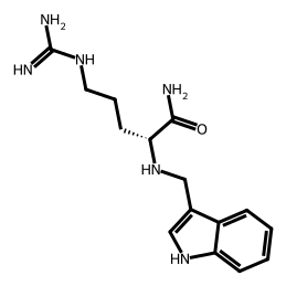 N=C(N)NCCC[C@@H](NCc1c[nH]c2ccccc12)C(N)=O